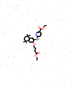 CCOC(=O)CCCOc1cc2c(cc1[Se]c1ccc(C(=O)OCC)cn1)C(C)(C)CCC2(C)C